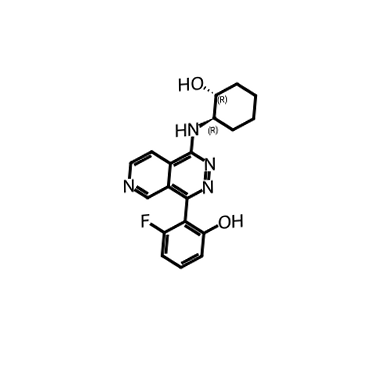 Oc1cccc(F)c1-c1nnc(N[C@@H]2CCCC[C@H]2O)c2ccncc12